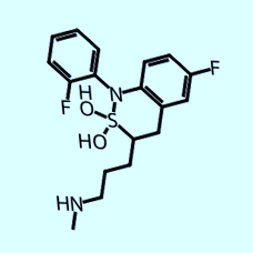 CNCCCC1Cc2cc(F)ccc2N(c2ccccc2F)S1(O)O